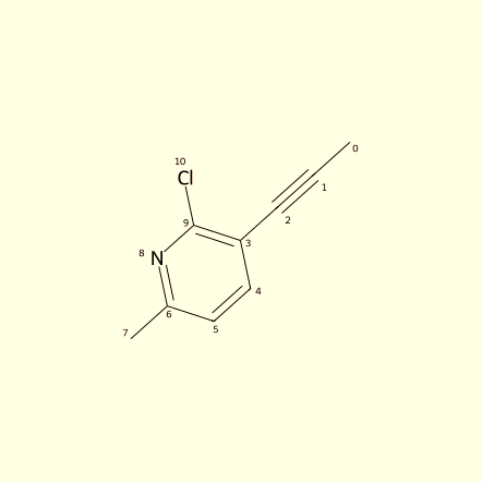 CC#Cc1ccc(C)nc1Cl